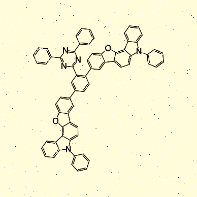 c1ccc(-c2nc(-c3ccccc3)nc(-c3cc(-c4ccc5oc6c(ccc7c6c6ccccc6n7-c6ccccc6)c5c4)ccc3-c3ccc4oc5c(ccc6c5c5ccccc5n6-c5ccccc5)c4c3)n2)cc1